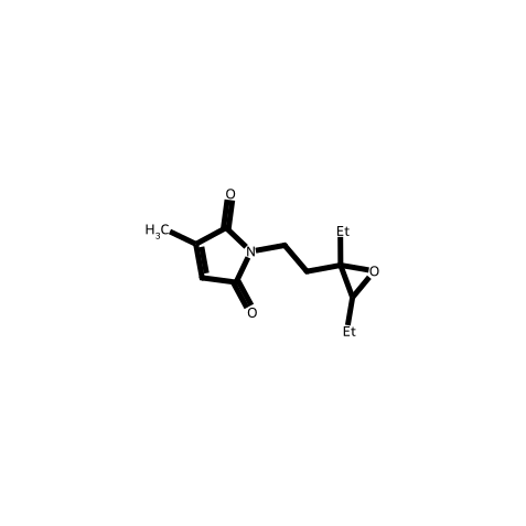 CCC1OC1(CC)CCN1C(=O)C=C(C)C1=O